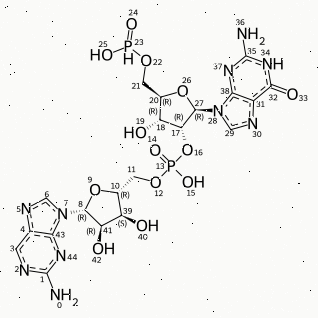 Nc1ncc2ncn([C@@H]3O[C@H](COP(=O)(O)O[C@@H]4[C@H](O)[C@@H](CO[PH](=O)O)O[C@H]4n4cnc5c(=O)[nH]c(N)nc54)[C@@H](O)[C@H]3O)c2n1